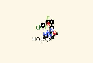 O=C(O)c1cnc2nc(CN3CCC(c4cccc5c4O[C@H](c4ccc(Cl)cc4F)C=C5F)CC3)n([C@@H]3[SiH2]CC3C3CCO3)c2c1